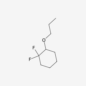 CCCOC1CCCCC1(F)F